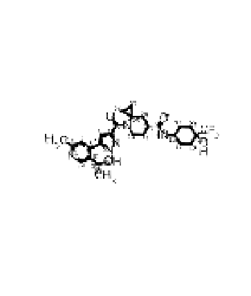 Cc1cc(-c2cc(C(=O)N3CC[C@@H](C(=O)NC4CCC(O)(C(F)(F)F)CC4)CC34CC4)n[nH]2)c([C@@H](C)O)cn1